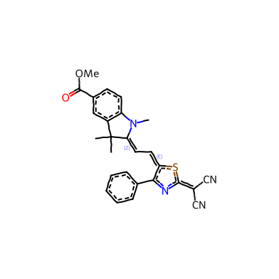 COC(=O)c1ccc2c(c1)C(C)(C)/C(=C/C=c1/sc(=C(C#N)C#N)nc1-c1ccccc1)N2C